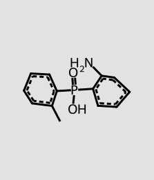 Cc1ccccc1P(=O)(O)c1ccccc1N